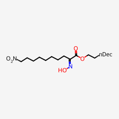 CCCCCCCCCCCCOC(=O)C(CCCCCCCC[N+](=O)[O-])=NO